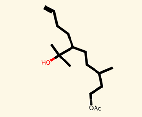 C=CCCC(CCC(C)CCOC(C)=O)C(C)(C)O